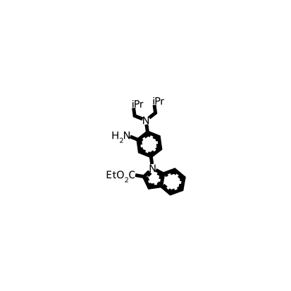 CCOC(=O)c1cc2ccccc2n1-c1ccc(N(CC(C)C)CC(C)C)c(N)c1